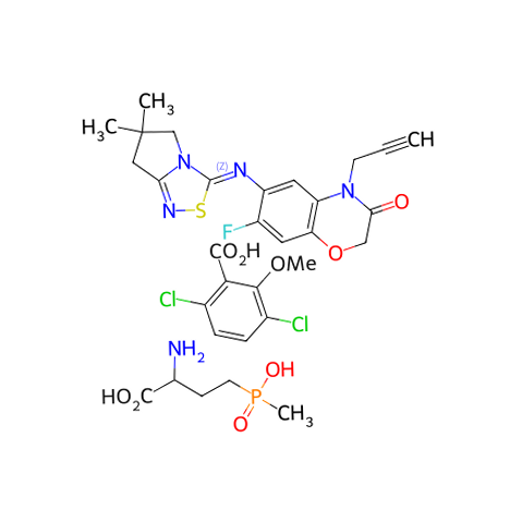 C#CCN1C(=O)COc2cc(F)c(/N=c3\snc4n3CC(C)(C)C4)cc21.COc1c(Cl)ccc(Cl)c1C(=O)O.CP(=O)(O)CCC(N)C(=O)O